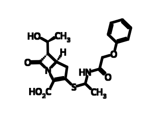 CC(NC(=O)COc1ccccc1)SC1=C(C(=O)O)N2C(=O)[C@H]([C@H](C)O)[C@H]2C1